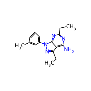 CCc1nc(N)c2c(CC)nn(-c3cccc(C)c3)c2n1